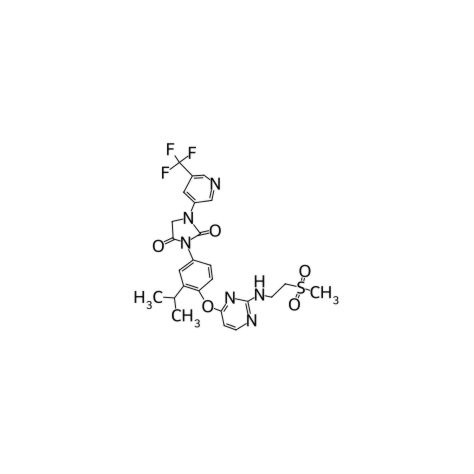 CC(C)c1cc(N2C(=O)CN(c3cncc(C(F)(F)F)c3)C2=O)ccc1Oc1ccnc(NCCS(C)(=O)=O)n1